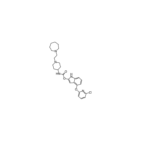 O=C(NC1CCN(CCN2CCCCCC2)CC1)Oc1cc2c(Oc3cccc(Cl)n3)cccc2[nH]1